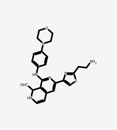 NCCc1nc(-c2cc3c(c(Nc4ccc(N5CCOCC5)cc4)n2)C(C=O)NC=C3)cs1